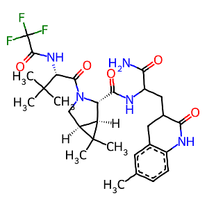 Cc1ccc2c(c1)CC(CC(NC(=O)[C@@H]1[C@@H]3[C@H](CN1C(=O)[C@@H](NC(=O)C(F)(F)F)C(C)(C)C)C3(C)C)C(N)=O)C(=O)N2